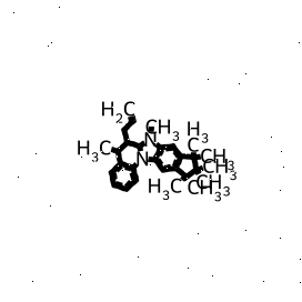 C=CCC1C(C)c2ccccc2N2c3cc4c(cc3N(C)C12)C(C)(C)C(C)(C)C4(C)C